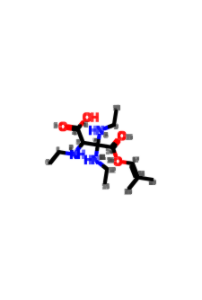 CCNC(C(=O)O)C(NCC)(NCC)C(=O)OC=C(C)C